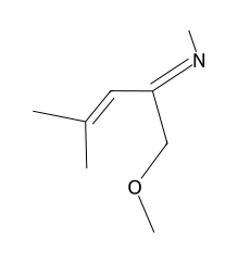 C/N=C(\C=C(C)C)COC